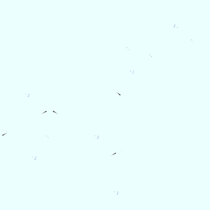 N=C(NCc1cnc[nH]1)NC1CC(O)[C@@H](CO)OC(OC2[C@@H](F)[C@H](O[C@H]3OC(CN)[C@@H](O)CC3N)C(N)C[C@H]2NC(=O)[C@@H](O)CCN)[C@@H]1O